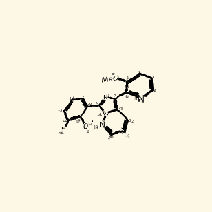 COc1cccnc1-c1nc(-c2cccc(F)c2O)n2ncccc12